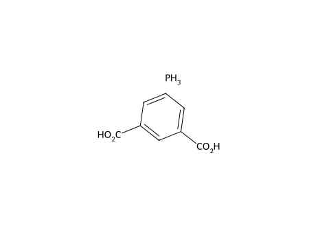 O=C(O)c1cccc(C(=O)O)c1.P